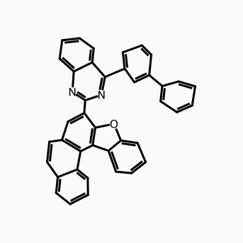 c1ccc(-c2cccc(-c3nc(-c4cc5ccc6ccccc6c5c5c4oc4ccccc45)nc4ccccc34)c2)cc1